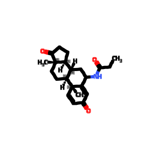 CCC(=O)NC1C[C@@H]2[C@H](CC[C@]3(C)C(=O)CC[C@@H]23)[C@@]2(C)C=CC(=O)C=C12